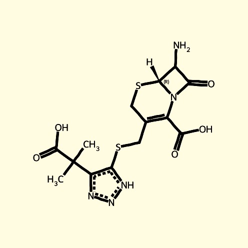 CC(C)(C(=O)O)c1nn[nH]c1SCC1=C(C(=O)O)N2C(=O)C(N)[C@H]2SC1